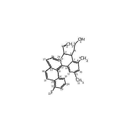 C=CC1C(CCO)c2c(C)cc(C)cc2-c2c3c(ccc4c(F)cccc43)cc[n+]21